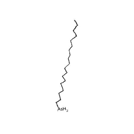 CCCCCCCCCCCCCCCCCCC[AsH2]